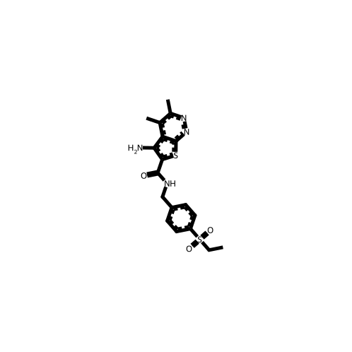 CCS(=O)(=O)c1ccc(CNC(=O)c2sc3nnc(C)c(C)c3c2N)cc1